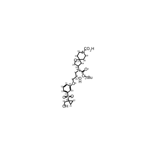 CC(C)(C)OC(=O)N(C[C@H](O)COc1cccc(S(=O)(=O)C2(CO)CC2)c1)C1COC2(CCN(C(=O)O)CC2)C1